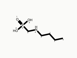 CCCCNCP(=O)(O)O